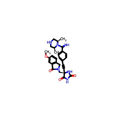 COc1ccc2c(c1)C(=O)N(C[C@@]1(C#Cc3ccc(C(=N)N4[C@H](C)CNC[C@@H]4C)cc3)NC(=O)NC1=O)C2